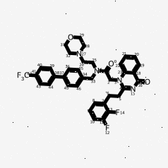 O=C(Cn1c(CCc2cccc(F)c2F)nc(=O)c2ccccc21)N(CCN1CCOCC1)Cc1ccc(-c2ccc(C(F)(F)F)cc2)cc1